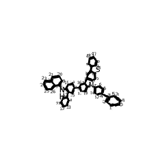 c1ccc(-c2ccc(-n3c4ccc(-c5ccc(Nc6cccc7ccccc67)c(-c6ccccc6)c5)cc4c4cc5c(cc43)sc3ccccc35)cc2)cc1